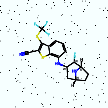 N#Cc1sc2c(N[C@@H]3C[C@H]4CC[C@H](N4)[C@@H]3F)cccc2c1SC(F)(F)F